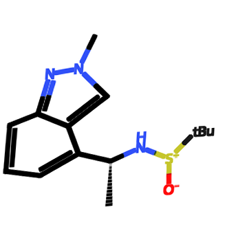 C[C@@H](N[S+]([O-])C(C)(C)C)c1cccc2nn(C)cc12